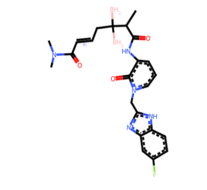 BC(B)(C/C=C/C(=O)N(C)C)C(C)C(=O)Nc1cccn(Cc2nc3cc(F)ccc3[nH]2)c1=O